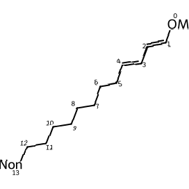 [CH2]OC=CC=CCCCCCCCCCCCCCCCCC